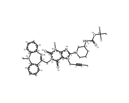 CC#CCn1c(N2CCCC(NC(=O)OC(C)(C)C)C2)nc2c1c(=O)n(CC1=Nc3ccccc3N(C)c3ccccc31)c(=O)n2C